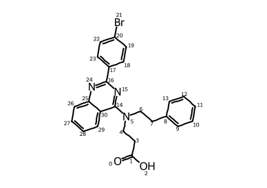 O=C(O)CCN(CCc1ccccc1)c1nc(-c2ccc(Br)cc2)nc2ccccc12